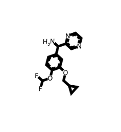 NC(c1ccc(OC(F)F)c(OCC2CC2)c1)c1cnccn1